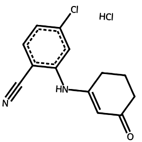 Cl.N#Cc1ccc(Cl)cc1NC1=CC(=O)CCC1